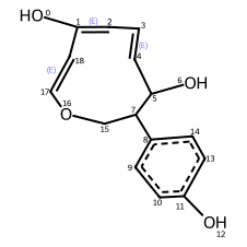 OC1=C/C=C/C(O)C(c2ccc(O)cc2)CO\C=C\1